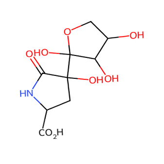 O=C(O)C1CC(O)(C2(O)OCC(O)C2O)C(=O)N1